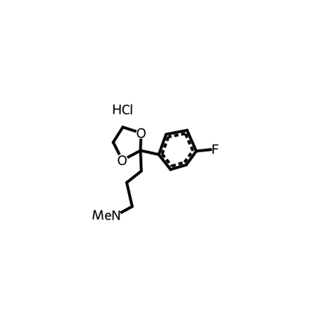 CNCCCC1(c2ccc(F)cc2)OCCO1.Cl